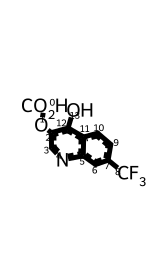 O=C(O)Oc1cnc2cc(C(F)(F)F)ccc2c1O